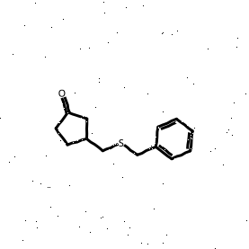 O=C1CCC(CSCc2ccccc2)C1